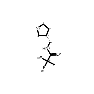 O=C(NC[C@H]1CCNC1)C(F)(F)F